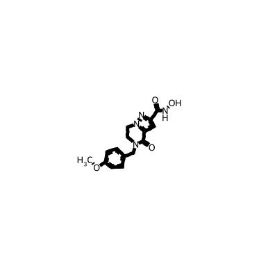 COc1ccc(CN2CCn3nc(C(=O)NO)cc3C2=O)cc1